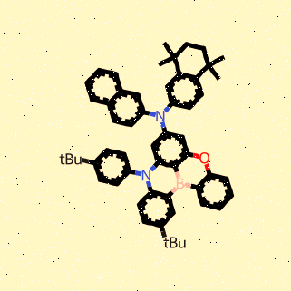 CC(C)(C)c1ccc(N2c3ccc(C(C)(C)C)cc3B3c4ccccc4Oc4cc(N(c5ccc6c(c5)C(C)(C)CCC6(C)C)c5ccc6ccccc6c5)cc2c43)cc1